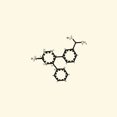 CC(C)c1cccc(-c2nnc(N)nc2-c2ccccc2)c1